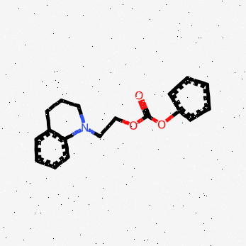 O=C(OCCN1CCCc2ccccc21)Oc1ccccc1